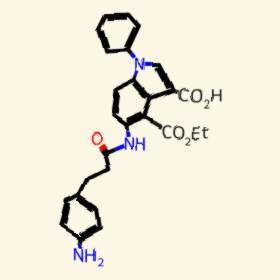 CCOC(=O)c1c(NC(=O)CCc2ccc(N)cc2)ccc2c1c(C(=O)O)cn2-c1ccccc1